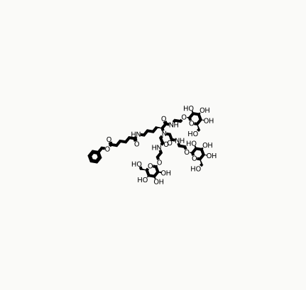 O=C(CCCCC(=O)OCc1ccccc1)NCCCC[C@@H](C(=O)NCCO[C@H]1O[C@H](CO)[C@@H](O)[C@H](O)[C@@H]1O)N(CC(=O)NCCO[C@H]1O[C@H](CO)[C@@H](O)[C@H](O)[C@@H]1O)CC(=O)NCCO[C@H]1O[C@H](CO)[C@@H](O)[C@H](O)[C@@H]1O